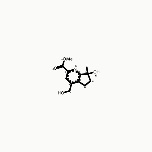 COC(=O)c1cc(CO)c2c(n1)C(C)(O)CC2